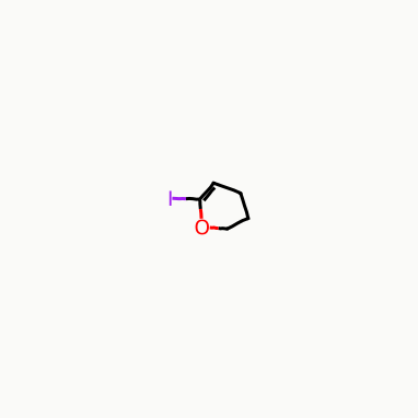 IC1=CCCCO1